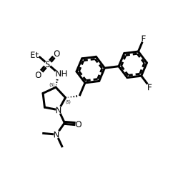 CCS(=O)(=O)N[C@H]1CCN(C(=O)N(C)C)[C@H]1Cc1cccc(-c2cc(F)cc(F)c2)c1